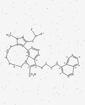 Cn1nc(CC(F)F)c2c1COCCCCn1c(C(=O)O)c(CCCOc3cccc4ccccc34)c3cccc-2c31